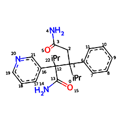 CC(C)C(CC(N)=O)(c1ccccc1)C(C(N)=O)(c1cccnc1)C(C)C